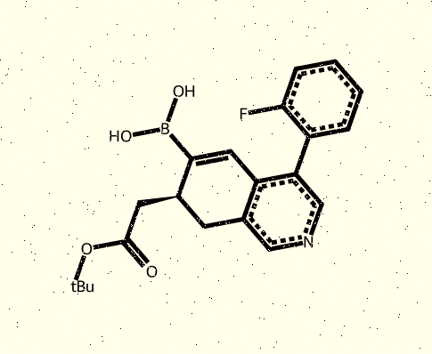 CC(C)(C)OC(=O)C[C@@H]1Cc2cncc(-c3ccccc3F)c2C=C1B(O)O